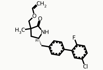 C=COCC1(C)C[C@@H](Cc2ccc(-c3cc(Cl)ccc3F)cc2)NC1=O